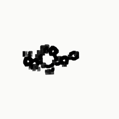 Cc1cccc(C)c1-c1nc2nc(c1C)OC[C@@H](CC(C)(C)C)N(Cc1ccc(N3CCOCC3)cn1)C(=O)c1cccc(c1)S(=O)(=O)N2